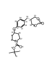 CC(C)(C)OC(=O)N1CCC(Oc2ccc(C[C@H]3CO[S@](=O)OC3)cc2)CC1